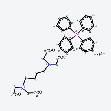 O=C([O-])CN(CCCCN(CC(=O)[O-])CC(=O)[O-])CC(=O)[O-].[Fe+3].c1ccc([P+](c2ccccc2)(c2ccccc2)c2ccccc2)cc1